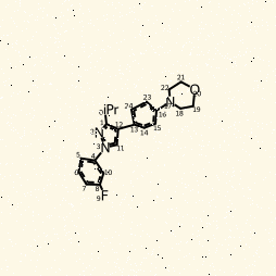 CC(C)c1nn(-c2cccc(F)c2)cc1-c1ccc(N2CCOCC2)cc1